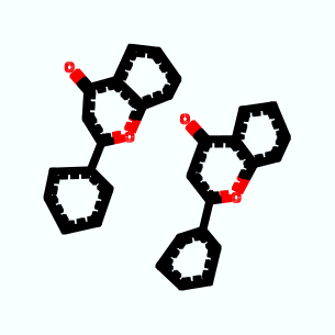 O=c1cc(-c2ccccc2)oc2ccccc12.O=c1cc(-c2ccccc2)oc2ccccc12